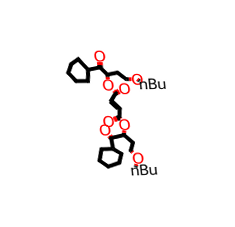 CCCCOCCC(OC(=O)/C=C/C(=O)OC(CCOCCCC)C(=O)C1CCCCC1)C(=O)C1CCCCC1